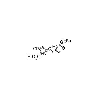 CCOC(=O)c1nc(OC[C@H](C)NC(=O)OC(C)(C)C)sc1Cl